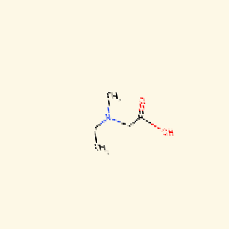 CCN(C)CC(=O)O